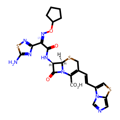 Nc1nc(/C(=N/OC2CCCC2)C(=O)N[C@@H]2C(=O)N3C(C(=O)O)=C(C=Cc4csc5cncn45)CS[C@H]23)ns1